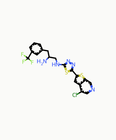 NC(CNc1nnc(-c2cc3c(Cl)cncc3s2)s1)Cc1cccc(C(F)(F)F)c1